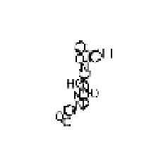 O=C([C@@H]1CCNC[C@H]1c1ccccc1)N1CCC(O)(Cn2cnc3c(ccn3-c3ccc4c(c3)OCO4)c2=O)CC1